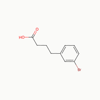 O=C(O)CCCc1cccc(Br)c1